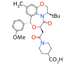 COc1cccc([C@H]2O[C@H](CC(=O)N3CCC(C(=O)O)CC3)C(=O)N3c4c(cc(C)cc42)OC[C@H]3C(C)(C)C)c1